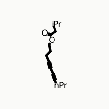 CCCC#CC#CCCCOC(=O)CC(C)C